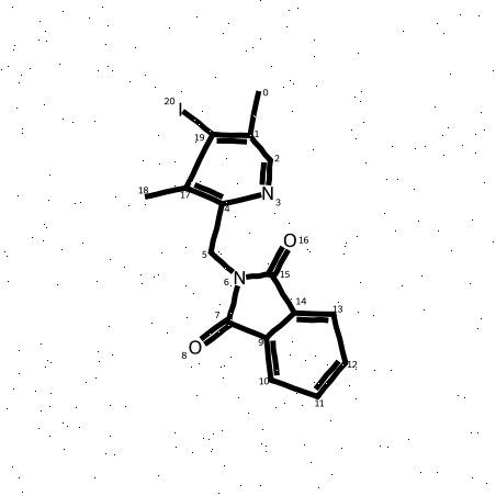 Cc1cnc(CN2C(=O)c3ccccc3C2=O)c(C)c1I